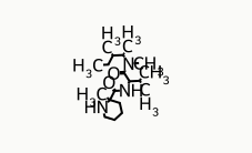 CCC(C)[C@@H](C)N(C)C(=O)C(NC(=O)C1(C)CCCCN1)C(C)C